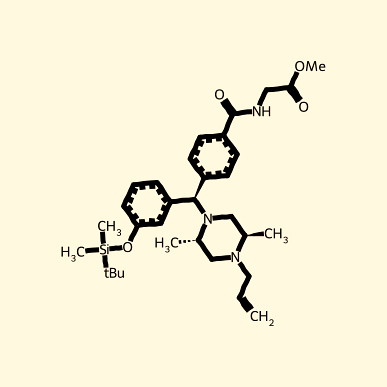 C=CCN1C[C@H](C)N([C@H](c2ccc(C(=O)NCC(=O)OC)cc2)c2cccc(O[Si](C)(C)C(C)(C)C)c2)C[C@H]1C